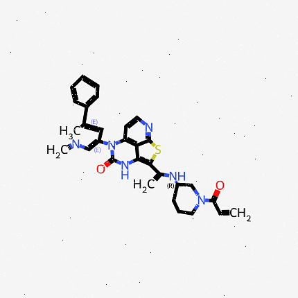 C=CC(=O)N1CCC[C@@H](NC(=C)c2sc3nccc4c3c2NC(=O)N4C(/C=C(\C)c2ccccc2)=C/N=C)C1